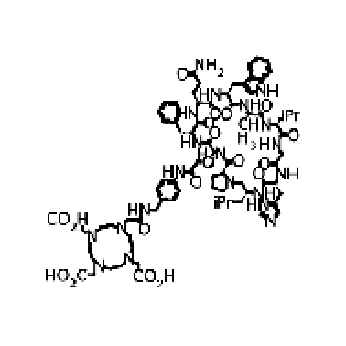 CC(C)C[C@@H](CN1CCC[C@H]1C(N)=O)NC(=O)[C@H](Cc1cnc[nH]1)NC(=O)CNC(=O)[C@@H](NC(=O)[C@H](C)NC(=O)[C@H](Cc1c[nH]c2ccccc12)NC(=O)[C@H](CCC(N)=O)NC(=O)[C@@H](Cc1ccccc1)NC(=O)COCC(=O)Nc1ccc(CNC(=O)CN2CCN(CC(=O)O)CCN(CC(=O)O)CCN(CC(=O)O)CC2)cc1)C(C)C